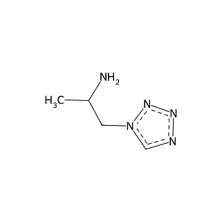 CC(N)Cn1cnnn1